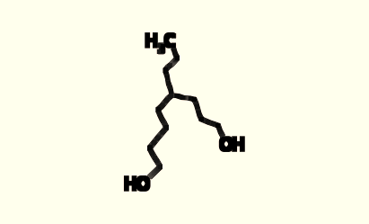 CCCC(CCCO)CCCCO